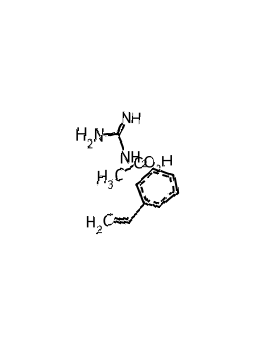 C=Cc1ccccc1.CC(=O)O.N=C(N)N